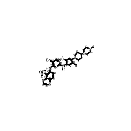 COc1cc(N2CCC(N3CCN(C)CC3)CC2)c(C)cc1Nc1ncc(Br)c(Nc2ccc3nccnc3c2P(C)(C)=O)n1